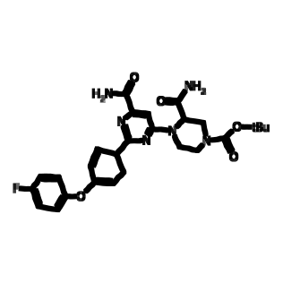 CC(C)(C)OC(=O)N1CCN(c2cc(C(N)=O)nc(C3C=CC(Oc4ccc(F)cc4)=CC3)n2)C(C(N)=O)C1